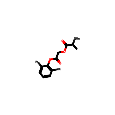 CNC(C)C(=O)OCC(=O)Oc1c(C(C)C)cccc1C(C)C